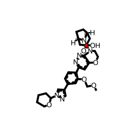 COCOc1cc(-c2cnn(C3CCCCO3)c2)ccc1-c1cc2c(nn1)N(C1C[C@H]3CC[C@@H](C1)N3C(=O)O)CCO2